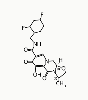 C[C@H]1CO[C@@H]2Cn3cc(C(=O)NCC4CCC(F)CC4F)c(=O)c(O)c3C(=O)N12